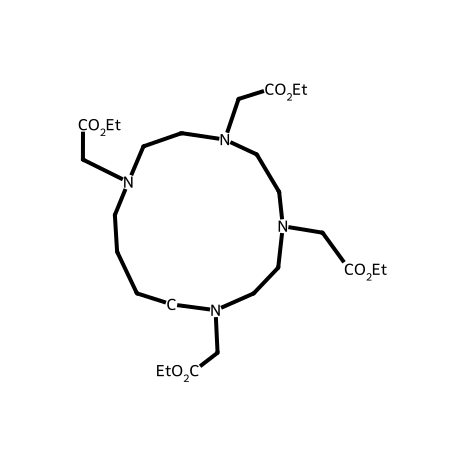 CCOC(=O)CN1CCCCN(CC(=O)OCC)CCN(CC(=O)OCC)CCN(CC(=O)OCC)CC1